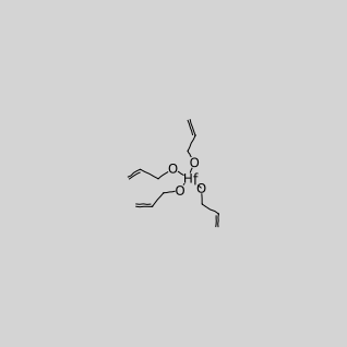 C=CC[O][Hf]([O]CC=C)([O]CC=C)[O]CC=C